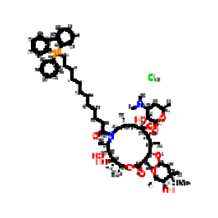 CC[C@H]1OC(=O)[C@H](C)[C@@H](O[C@H]2C[C@@](C)(OC)[C@@H](O)[C@H](C)O2)[C@H](C)[C@@H](O[C@@H]2O[C@H](C)C[C@H](N(C)C)[C@H]2O)[C@](C)(O)C[C@@H](C)CN(C(=O)CCCCCCCCCCC[P+]2(c3ccccc3)c3ccccc3-c3ccccc32)[C@H](C)[C@@H](O)[C@]1(C)O.[Cl-]